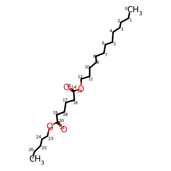 CCCCCCCCCCCCCOC(=O)CCCCC(=O)OCCCCC